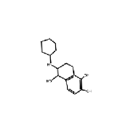 Oc1ccc2c(c1O)CCC(NC1CCCCC1)C2O